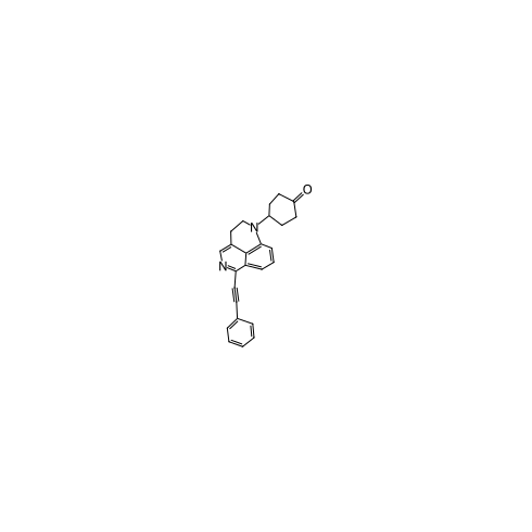 O=C1CCC(N2CCc3cnc(C#Cc4ccccc4)c4cccc2c34)CC1